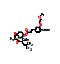 COc1ccc(/C=C/C(=O)O[C@@H]2CC[C@]3(CO3)[C@@H](C3(C)OC3CC=C(C)C)[C@@H]2OC)cc1OCCOC(C)C